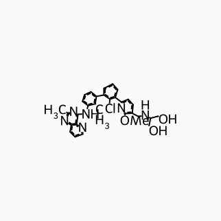 COc1nc(-c2cccc(-c3cccc(Nc4nc(C)nc5cccnc45)c3C)c2Cl)ccc1CNC(CO)CO